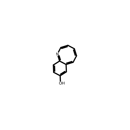 Oc1ccc2c(c1)=CC=CC=CN=2